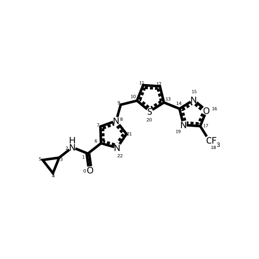 O=C(NC1CC1)c1cn(Cc2ccc(-c3noc(C(F)(F)F)n3)s2)cn1